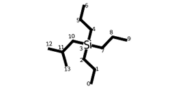 CCC[Si](CCC)(CCC)CC(C)C